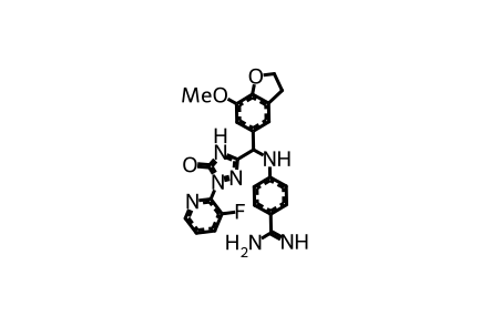 COc1cc(C(Nc2ccc(C(=N)N)cc2)c2nn(-c3ncccc3F)c(=O)[nH]2)cc2c1OCC2